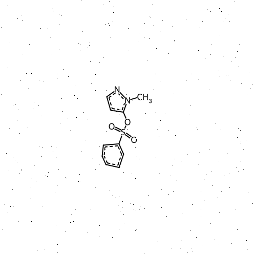 Cn1nccc1OS(=O)(=O)c1ccccc1